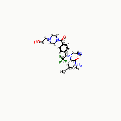 CC(C)C[C@@H](C(N)=O)N(CC#N)C(c1ccc(C(=O)N2CCN(CCO)CC2)cc1)C(F)(F)F